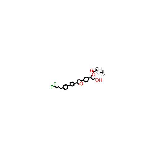 C=C(C)C(=O)OCC(CCO)C1CCC(C2CCC(c3ccc(-c4ccc(CCC=C(F)F)cc4)cc3)CO2)CC1